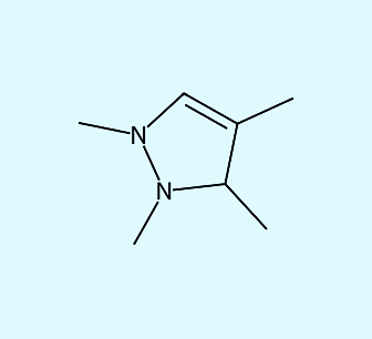 CC1=CN(C)N(C)C1C